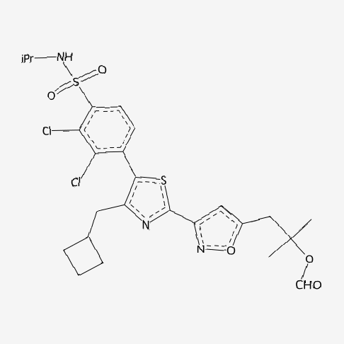 CC(C)NS(=O)(=O)c1ccc(-c2sc(-c3cc(CC(C)(C)OC=O)on3)nc2CC2CCC2)c(Cl)c1Cl